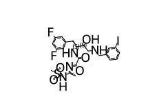 CS(=O)(=O)Nc1coc(C(=O)N[C@@H](Cc2cc(F)cc(F)c2)[C@@H](O)CNCc2cccc(I)c2)n1